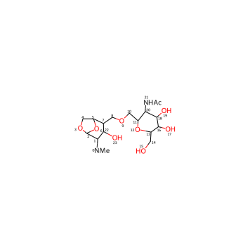 CNC1C2OCC(O2)C(COCC2OC(CO)C(O)C(O)C2NC(C)=O)C1O